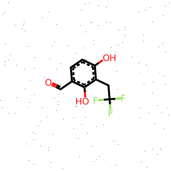 O=Cc1ccc(O)c(CC(F)(F)F)c1O